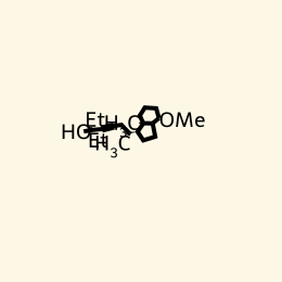 CCC(O)(C#CCC(C)[C@H]1CCC2C(OC)CCC[C@@]21C)CC